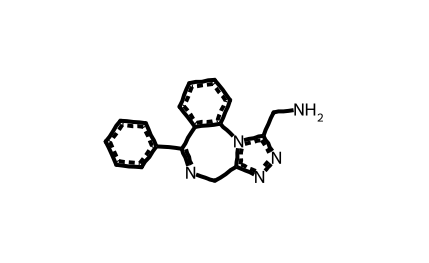 NCc1nnc2n1-c1ccccc1C(c1ccccc1)=NC2